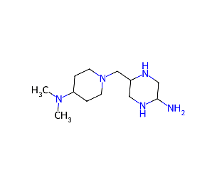 CN(C)C1CCN(CC2CNC(N)CN2)CC1